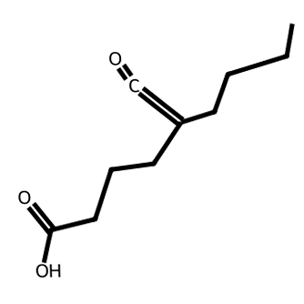 CCCCC(=C=O)CCCC(=O)O